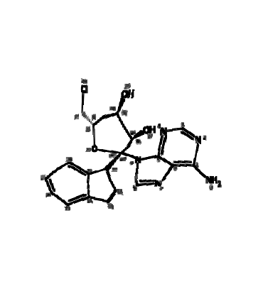 Nc1ncnc2c1ncn2[C@]1(C2CCc3ccccc32)O[C@H](CCl)[C@@H](O)[C@H]1O